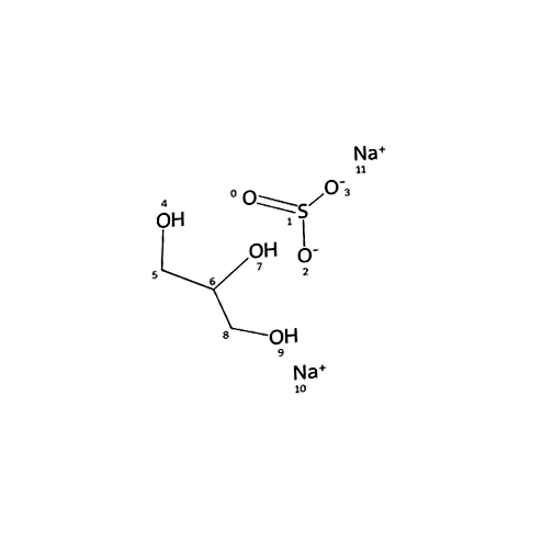 O=S([O-])[O-].OCC(O)CO.[Na+].[Na+]